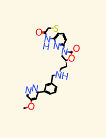 COc1cnnc(-c2cccc(CNCC[C@H]3CN(c4ccc5c(n4)NC(=O)CS5)C(=O)O3)c2)c1